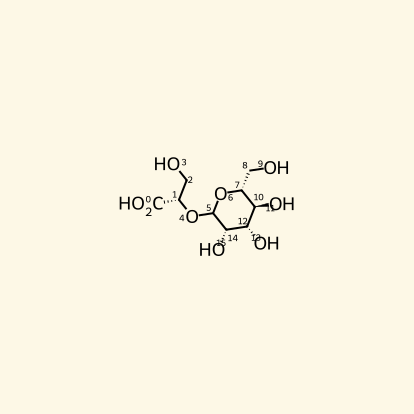 O=C(O)[C@H](CO)OC1O[C@H](CO)[C@@H](O)[C@H](O)[C@@H]1O